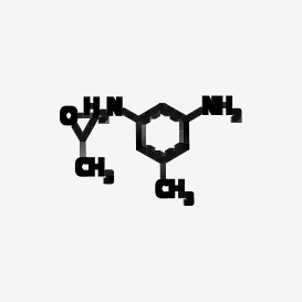 CC1CO1.Cc1cc(N)cc(N)c1